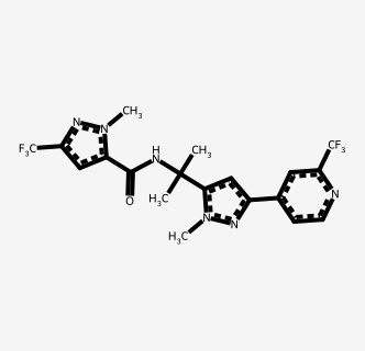 Cn1nc(C(F)(F)F)cc1C(=O)NC(C)(C)c1cc(-c2ccnc(C(F)(F)F)c2)nn1C